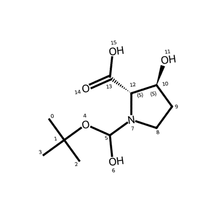 CC(C)(C)OC(O)N1CC[C@H](O)[C@H]1C(=O)O